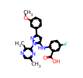 COc1cccc(-c2cc(Nc3ccc(F)cc3C(=O)O)n(-c3nc(C)cnc3C)n2)c1